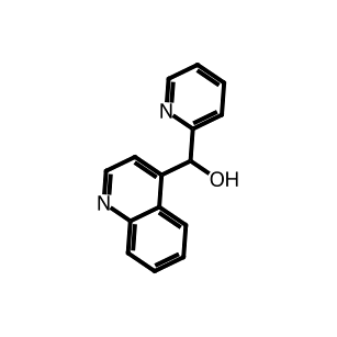 OC(c1ccccn1)c1ccnc2ccccc12